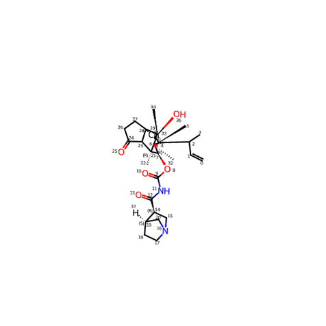 C=CC(C)[C@]1(C)C[C@@H](OC(=O)NC(=O)[C@H]2CN3CC[C@@H]2C3)[C@@]2(C)C3C(=O)CCC3(CC[C@H]2C)[C@@H](C)[C@@H]1O